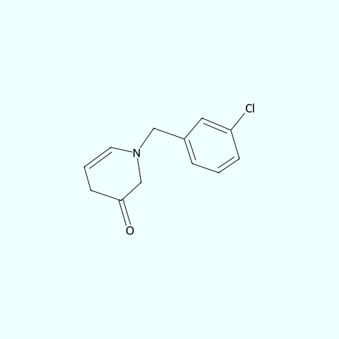 O=C1CC=CN(Cc2cccc(Cl)c2)C1